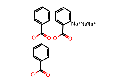 O=C([O-])c1ccccc1.O=C([O-])c1ccccc1.O=C([O-])c1ccccc1.[Na+].[Na+].[Na+]